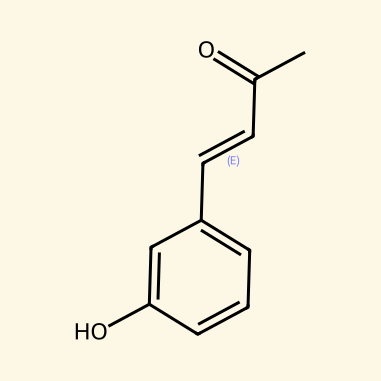 CC(=O)/C=C/c1cccc(O)c1